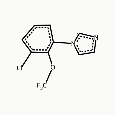 FC(F)(F)Oc1c(Cl)cccc1-n1[c]ncc1